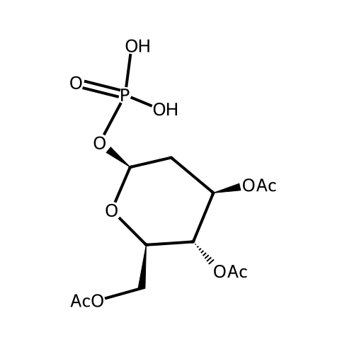 CC(=O)OC[C@H]1O[C@@H](OP(=O)(O)O)C[C@@H](OC(C)=O)[C@@H]1OC(C)=O